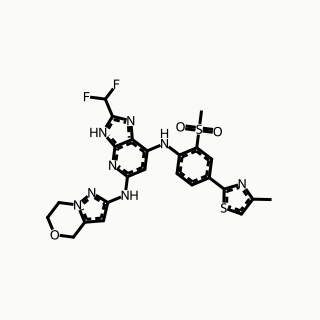 Cc1csc(-c2ccc(Nc3cc(Nc4cc5n(n4)CCOC5)nc4[nH]c(C(F)F)nc34)c(S(C)(=O)=O)c2)n1